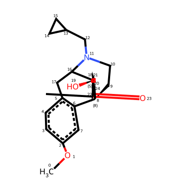 COc1ccc2c(c1)[C@]13CCN(CC4CC4)C(C2)[C@]1(O)CCC(=O)C3